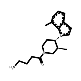 Cc1cccc2ccn([C@H]3CCN(C(=O)CCCN)C[C@@H]3C)c12